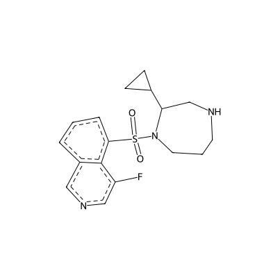 O=S(=O)(c1cccc2cncc(F)c12)N1CCCNCC1C1CC1